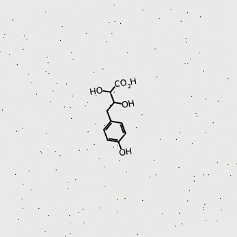 O=C(O)C(O)C(O)Cc1ccc(O)cc1